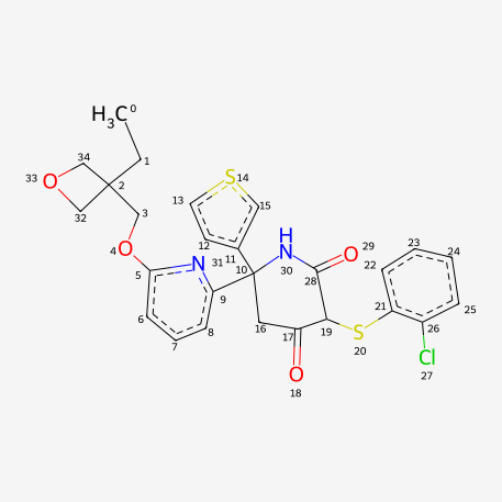 CCC1(COc2cccc(C3(c4ccsc4)CC(=O)C(Sc4ccccc4Cl)C(=O)N3)n2)COC1